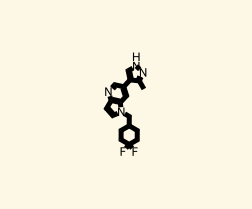 Cc1n[nH]cc1-c1cnc2ccn(CC3CCC(F)(F)CC3)c2c1